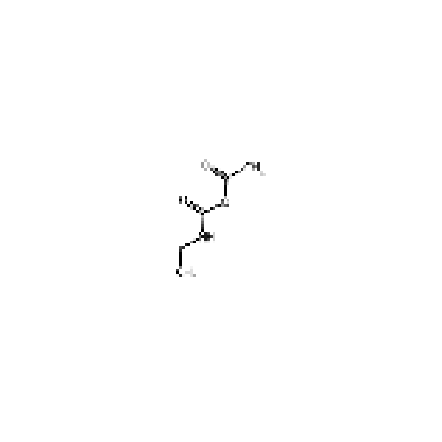 CCNC(=O)OC(C)=O